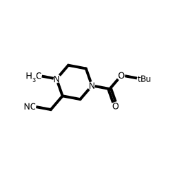 CN1CCN(C(=O)OC(C)(C)C)CC1CC#N